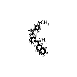 CCn1cc(Nc2nn3c([C@@H](C)c4ccc5ncccc5c4)nnc3s2)cn1